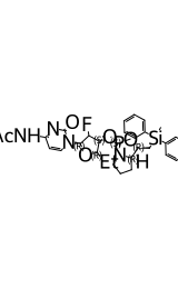 CC[C@H]1O[C@@H](n2ccc(NC(C)=O)nc2=O)C(F)[C@H]1O[P@]1O[C@@H](C[Si](C)(c2ccccc2)c2ccccc2)[C@H]2CCCN21